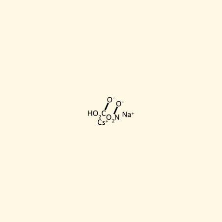 O=C([O-])O.O=[N+]([O-])[O-].[Cs+].[Na+]